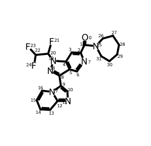 O=C(c1cc2c(cn1)c(-c1cnc3ccccn13)nn2C(F)C(F)F)N1CCCCCC1